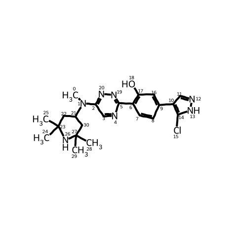 CN(c1cnc(-c2ccc(-c3cn[nH]c3Cl)cc2O)nn1)C1CC(C)(C)NC(C)(C)C1